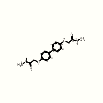 NNC(=O)COc1ccc(-c2ccc(OCC(=O)NN)cc2)cc1